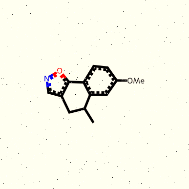 COc1ccc2c(c1)C(C)Cc1cnoc1-2